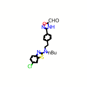 CCCCN(CCc1ccc(C2=NOC(C=O)N2)cc1)c1nc2ccc(Cl)cc2s1